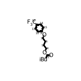 CCC(C)C(=O)OCCCCOc1ccc(C(F)(F)F)cc1